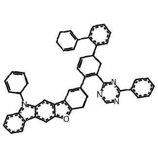 C1=CCC(n2c3ccccc3c3cc4oc5c(c4cc32)C=C(C2=C(c3ncnc(-c4ccccc4)n3)CC(c3ccccc3C3=CCCC=C3)C=C2)CC5)C=C1